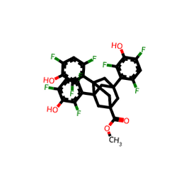 COC(=O)C12CC3(c4c(F)cc(F)c(O)c4F)CC(c4c(F)cc(F)c(O)c4F)(C1)C(c1c(F)cc(F)c(O)c1F)(C2)C3